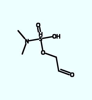 CN(C)[SH](=O)(O)OCC=O